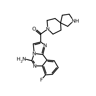 Nc1nc2c(F)cccc2c2nc(C(=O)N3CCC4(CCNC4)CC3)cn12